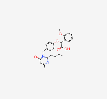 CCCCc1nc(C)cc(=O)n1Cc1ccc(OC(C(=O)O)c2ccccc2OC)cc1